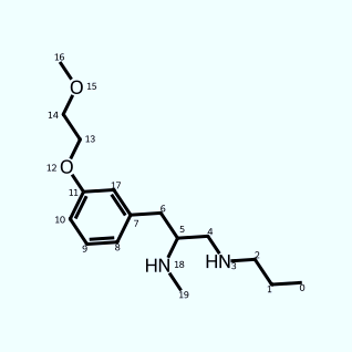 CCCNCC(Cc1cccc(OCCOC)c1)NC